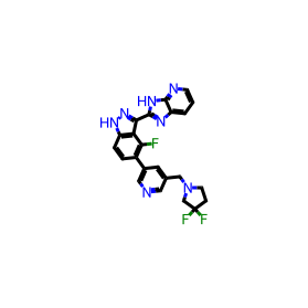 Fc1c(-c2cncc(CN3CCC(F)(F)C3)c2)ccc2[nH]nc(-c3nc4cccnc4[nH]3)c12